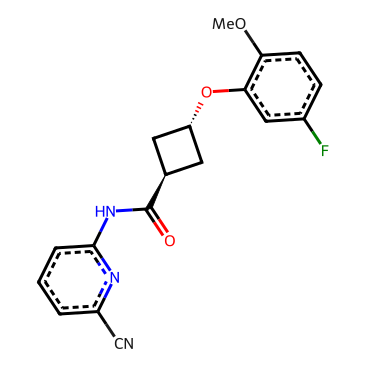 COc1ccc(F)cc1O[C@H]1C[C@H](C(=O)Nc2cccc(C#N)n2)C1